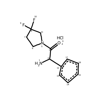 Cl.NC(C(=O)N1CCC(F)(F)C1)c1ccccc1